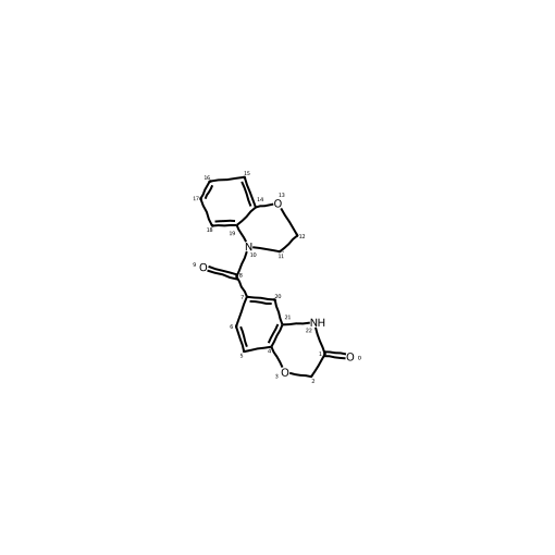 O=C1COc2ccc(C(=O)N3[CH]COc4ccccc43)cc2N1